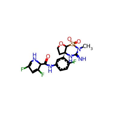 CN1C(=N)N[C@@]2(c3cc(NC(=O)C4NC=C(F)C=C4F)ccc3F)CCOC2S1(=O)=O